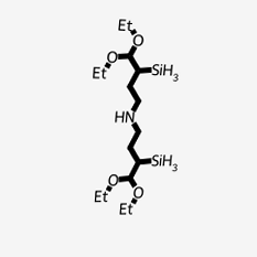 CCOC(OCC)C([SiH3])CCNCCC([SiH3])C(OCC)OCC